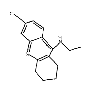 [CH2]CNc1c2c(nc3cc(Cl)ccc13)CCCC2